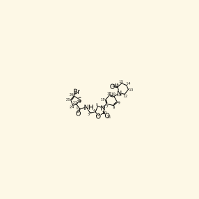 O=C(NC[C@H]1CN(c2ccc(N3CCCCC3=O)cc2)C(=O)O1)C1CC=C(Br)S1